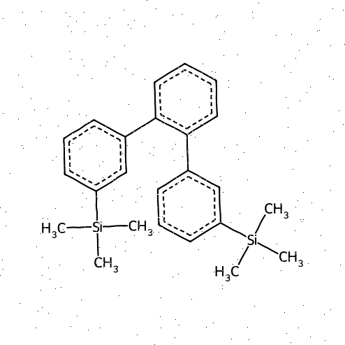 C[Si](C)(C)c1cccc(-c2ccccc2-c2cccc([Si](C)(C)C)c2)c1